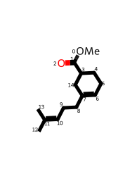 COC(=O)C1CCC=C(CCC=C(C)C)C1